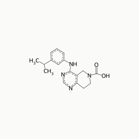 CC(C)c1cccc(Nc2ncnc3c2CN(C(=O)O)CC3)c1